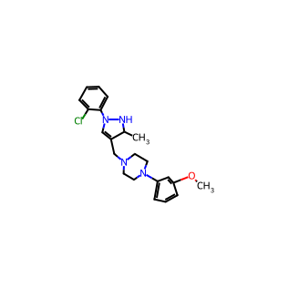 COc1cccc(N2CCN(CC3=CN(c4ccccc4Cl)NC3C)CC2)c1